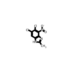 Cc1nc2c([N+](=O)[O-])c(Cl)c(Cl)cc2[nH]1